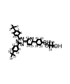 CC(C)(C)c1ccc(-c2nc(-c3ccc(C(C)(C)C)cc3)nc(-c3ccc(-c4ccc(BOC(C)(C)C(C)(C)O)cc4)nc3)n2)cc1